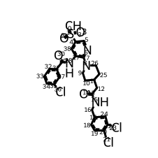 CS(=O)(=O)c1cnc(N2CCC(CC(=O)NCc3ccc(Cl)c(Cl)c3)CC2)c(NC(=O)c2cccc(Cl)c2)c1